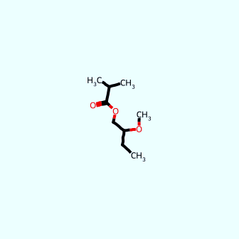 CCC(COC(=O)C(C)C)OC